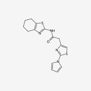 O=C(Cc1csc(-n2cccc2)n1)Nc1nc2c(s1)CCCC2